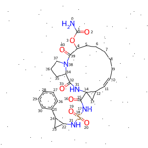 NC(=O)OC1CCCCCC=CC2CC2(C(=O)NS(=O)(=O)NC2CC2c2ccccc2)NC(=O)C2CCCN2C1=O